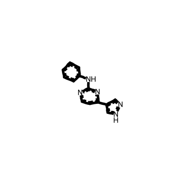 c1ccc(Nc2nccc(-c3cn[nH]c3)n2)cc1